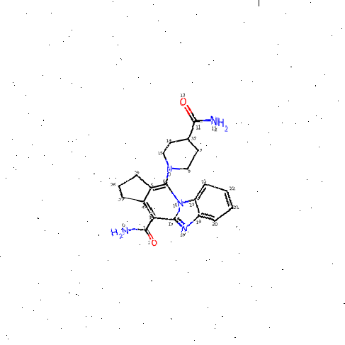 NC(=O)c1c2c(c(N3CCC(C(N)=O)CC3)n3c1nc1ccccc13)CCC2